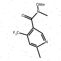 CON(C)C(=O)c1cnc(C)cc1C(F)(F)F